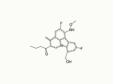 C=c1c(C(=O)CCC)cn2c3c(CO)cc(F)cc3c3c(NOC)c(F)cc1c32